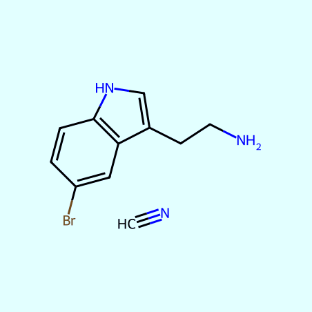 C#N.NCCc1c[nH]c2ccc(Br)cc12